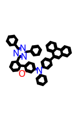 c1ccc(-c2nc(-c3ccccc3)nc(-c3cccc4oc5cc(N(c6ccccc6)c6ccc(-c7cc8ccccc8c8ccccc78)cc6)ccc5c34)n2)cc1